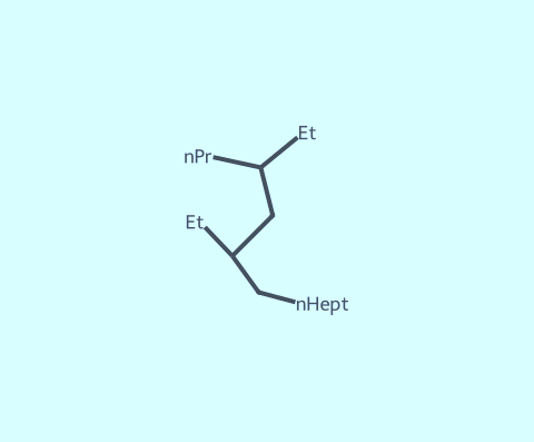 CCCCCCCCC(CC)CC(CC)CCC